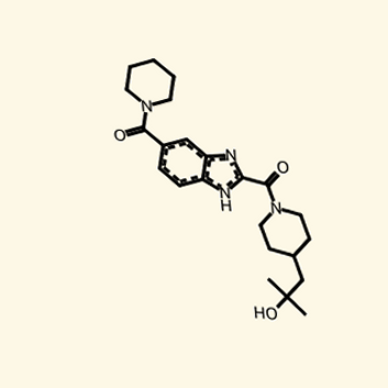 CC(C)(O)CC1CCN(C(=O)c2nc3cc(C(=O)N4CCCCC4)ccc3[nH]2)CC1